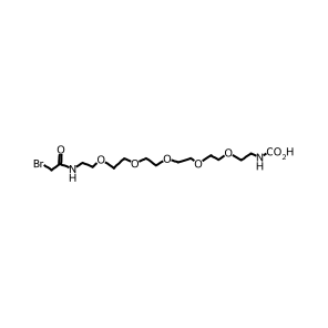 O=C(O)NCCOCCOCCOCCOCCOCCNC(=O)CBr